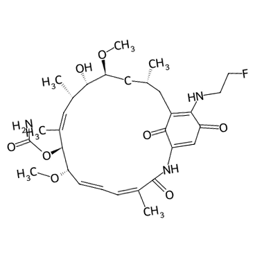 CO[C@H]1C=CC=C(C)C(=O)NC2=CC(=O)C(NCCF)=C(C[C@@H](C)C[C@H](OC)[C@@H](O)[C@@H](C)C=C(C)[C@@H]1OC(N)=O)C2=O